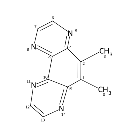 Cc1c(C)c2nccnc2c2nccnc12